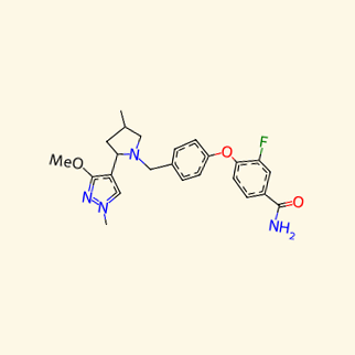 COc1nn(C)cc1C1CC(C)CN1Cc1ccc(Oc2ccc(C(N)=O)cc2F)cc1